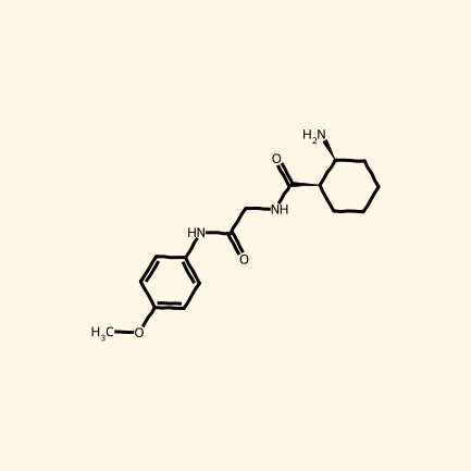 COc1ccc(NC(=O)CNC(=O)[C@@H]2CCCC[C@@H]2N)cc1